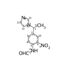 CC(c1ccc(NC=O)c([N+](=O)[O-])c1)n1ccnc1